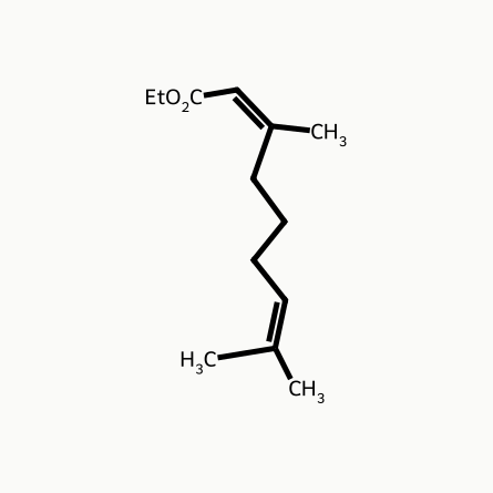 CCOC(=O)C=C(C)CCCC=C(C)C